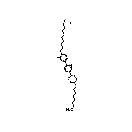 CCCCCCCCCCc1ccc(-c2ccc(C3OCC(CCCCCCCC)CO3)cn2)cc1F